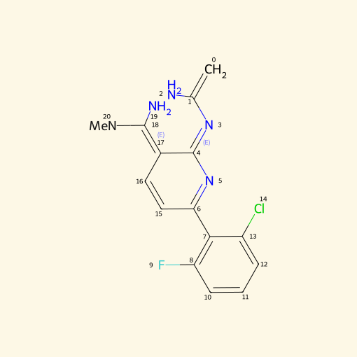 C=C(N)/N=C1/N=C(c2c(F)cccc2Cl)C=C/C1=C(/N)NC